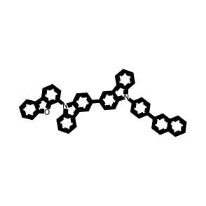 c1ccc2cc(-c3ccc(-n4c5ccccc5c5cc(-c6ccc7c(c6)c6ccccc6n7-c6cccc7c6oc6ccccc67)ccc54)cc3)ccc2c1